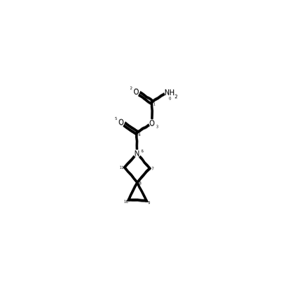 NC(=O)OC(=O)N1CC2(CC2)C1